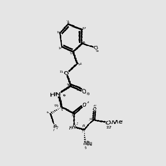 CCCC[C@H](NC(=O)[C@H](CC(C)C)NC(=O)OCc1ccccc1Cl)C(=O)OC